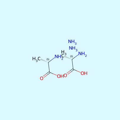 C[C@H](N)C(=O)O.C[C@H](N)C(=O)O.N.N